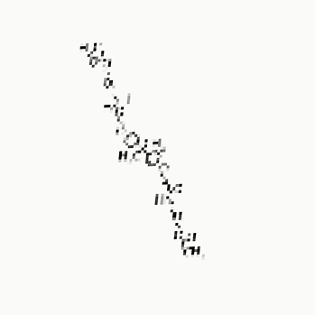 C=CC(=O)OCCOCCNC(=O)OCCOc1ccc(C(C)(C)c2ccc(OCCOC(=O)NCCOCCOC(=O)C=C)cc2)cc1